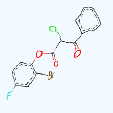 O=C(Oc1ccc(F)cc1Br)C(Cl)C(=O)c1ccccc1